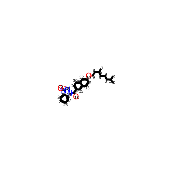 CC(C)CCCC(C)CCOc1ccc2cc(C(=O)n3n[n+]([O-])c4ccccc43)ccc2c1